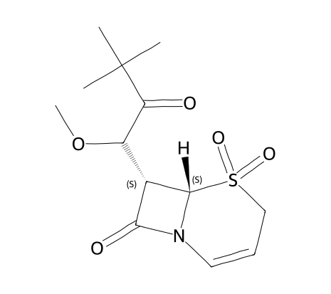 COC(C(=O)C(C)(C)C)[C@H]1C(=O)N2C=CCS(=O)(=O)[C@@H]12